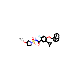 COC1CCN(S(=O)(=O)NC(=O)c2cc(C3CC3)c(OCC34CC5CC(CC(C5)C3)C4)cc2F)C1